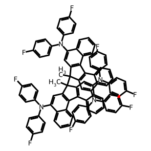 CC1(C2(C)c3cc(N(c4ccc(F)cc4)c4ccc(F)cc4)c4ccccc4c3-c3c2cc(N(c2ccc(F)cc2)c2ccc(F)cc2)c2ccccc32)c2cc(N(c3ccc(F)cc3)c3ccc(F)cc3)c3ccccc3c2-c2c1cc(N(c1ccc(F)cc1)c1ccc(F)cc1)c1ccccc21